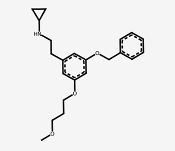 COCCCOc1cc(CCNC2CC2)cc(OCc2ccccc2)c1